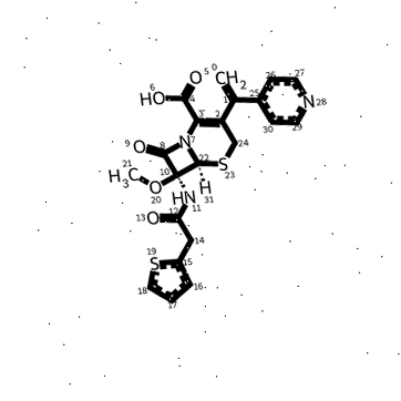 C=C(C1=C(C(=O)O)N2C(=O)[C@](NC(=O)Cc3cccs3)(OC)[C@@H]2SC1)c1ccncc1